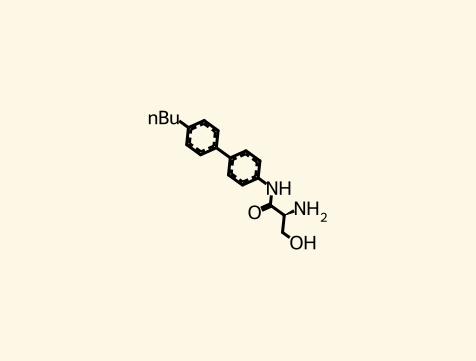 CCCCc1ccc(-c2ccc(NC(=O)[C@@H](N)CO)cc2)cc1